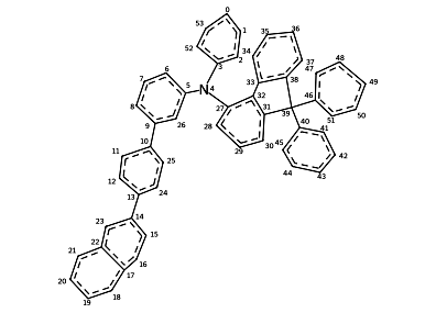 c1ccc(N(c2cccc(-c3ccc(-c4ccc5ccccc5c4)cc3)c2)c2cccc3c2-c2ccccc2C3(c2ccccc2)c2ccccc2)cc1